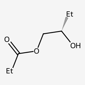 CCC(=O)OC[C@@H](O)CC